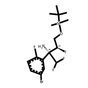 CC(C)(C)[Si](C)(C)OC[C@@H](F)[C@](N)(c1cc(Br)ccc1F)C(F)F